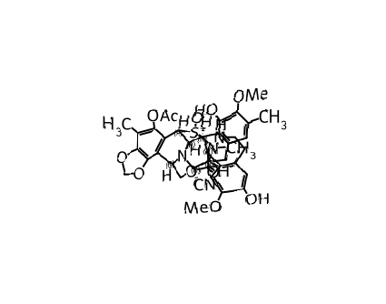 COc1cc2c(cc1O)CCN[C@]21C[S+]([O-])[C@@H]2c3c(OC(C)=O)c(C)c4c(c3[C@H](COC1=O)N1[C@@H]2[C@H]2c3c(cc(C)c(OC)c3O)C[C@H]([C@@H]1C#N)N2C)OCO4